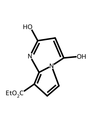 CCOC(=O)c1ccn2c(O)cc(O)nc12